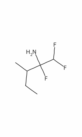 CCC(C)C(N)(F)C(F)F